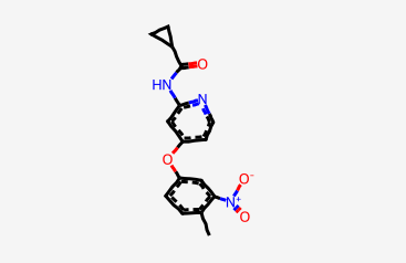 Cc1ccc(Oc2ccnc(NC(=O)C3CC3)c2)cc1[N+](=O)[O-]